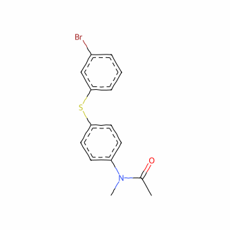 CC(=O)N(C)c1ccc(Sc2cccc(Br)c2)cc1